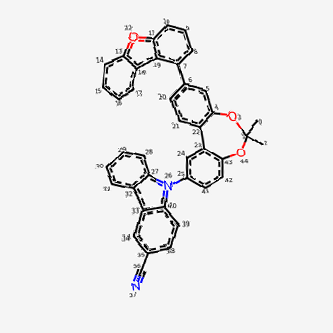 CC1(C)Oc2cc(-c3cccc4oc5ccccc5c34)ccc2-c2cc(-n3c4ccccc4c4cc(C#N)ccc43)ccc2O1